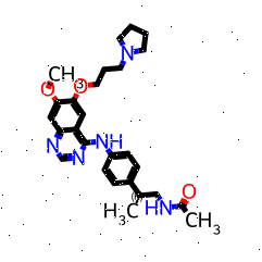 COc1cc2ncnc(Nc3ccc([C@@H](C)CNC(C)=O)cc3)c2cc1OCCCN1CCCC1